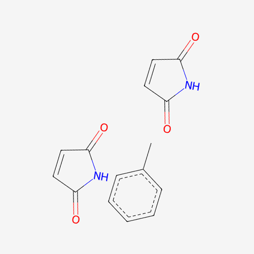 Cc1ccccc1.O=C1C=CC(=O)N1.O=C1C=CC(=O)N1